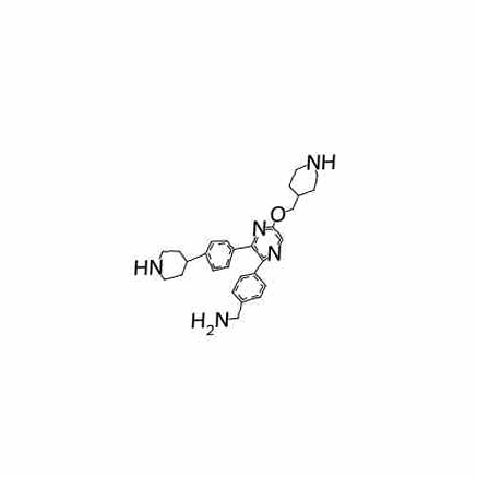 NCc1ccc(-c2ncc(OCC3CCNCC3)nc2-c2ccc(C3CCNCC3)cc2)cc1